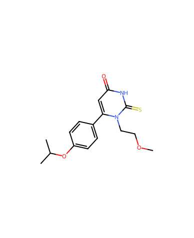 COCCn1c(-c2ccc(OC(C)C)cc2)cc(=O)[nH]c1=S